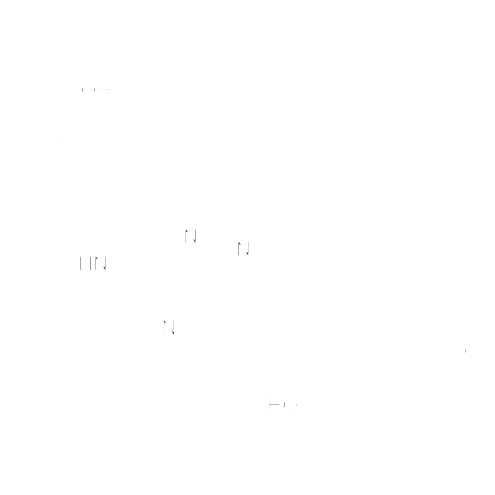 Cc1cc(Cl)cc(O)c1-c1nnc(NC2CC(C)(O)C2)nc1C